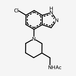 CC(=O)NCC1CCCN(c2cc(Cl)cc3[nH]ncc23)C1